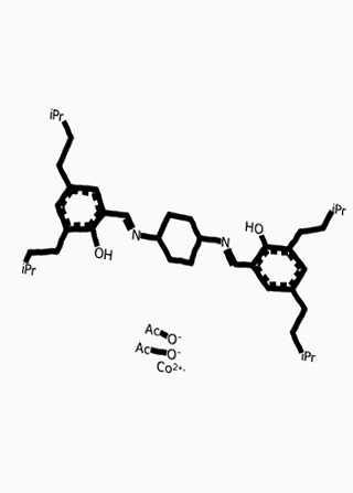 CC(=O)[O-].CC(=O)[O-].CC(C)CCc1cc(C=NC2CCC(N=Cc3cc(CCC(C)C)cc(CCC(C)C)c3O)CC2)c(O)c(CCC(C)C)c1.[Co+2]